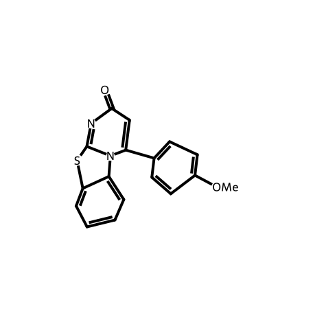 COc1ccc(-c2cc(=O)nc3sc4ccccc4n23)cc1